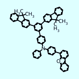 CC1(C)c2ccccc2-c2ccc(-c3cc(-c4ccc(N(c5ccccc5)c5ccc(-c6cccc7c6oc6ccccc67)cc5)cc4)cc(-c4ccc5c(c4)C(C)(C)c4ccccc4-5)c3)cc21